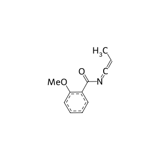 CC=C=NC(=O)c1ccccc1OC